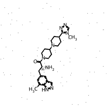 Cc1cc(C[C@@H](N)C(=O)N2CCC(N3CCC(c4nncn4C)CC3)CC2)cc2cn[nH]c12